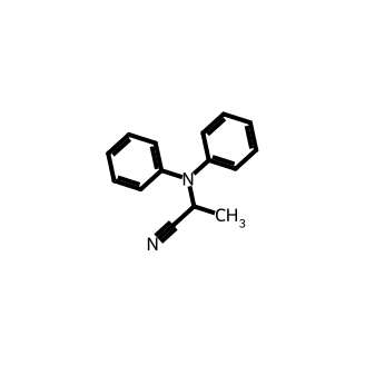 CC(C#N)N(c1ccccc1)c1ccccc1